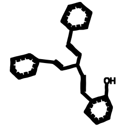 Oc1ccccc1C=CC(C=Cc1ccccc1)C=Cc1ccccc1